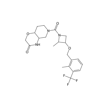 Cc1c(COC2CN(C(=O)N3CCC4OCC(=O)NC4C3)C2C)cccc1C(F)(F)F